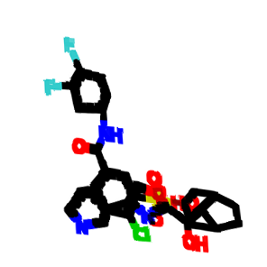 O=C(Nc1ccc(F)c(F)c1)c1ccc(Cl)c(S(=O)(=O)[C@H]2CC3CCC(C2)[C@]3(O)C(O)c2nc(-c3cccnc3)co2)c1